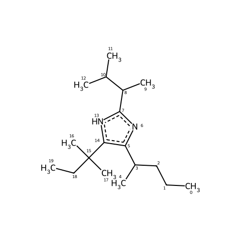 CCCC(C)c1nc(C(C)C(C)C)[nH]c1C(C)(C)CC